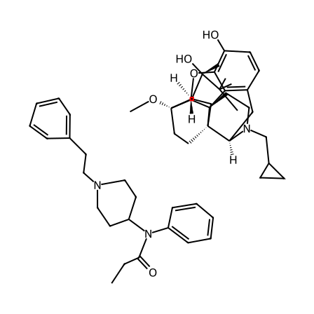 CCC(=O)N(c1ccccc1)C1CCN(CCc2ccccc2)CC1.CO[C@@]12CC[C@@]3(C[C@@H]1[C@](C)(O)C(C)(C)C)[C@H]1Cc4ccc(O)c5c4[C@@]3(CCN1CC1CC1)[C@H]2O5